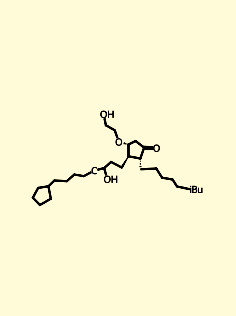 CCC(C)CCCCC[C@H]1C(=O)C[C@@H](OCCO)[C@@H]1CCC(O)CCCCCC1CCCC1